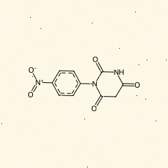 O=C1CC(=O)N(c2ccc([N+](=O)[O-])cc2)C(=O)N1